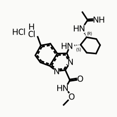 CONC(=O)c1nc(N[C@H]2CCCC[C@H]2NC(C)=N)c2cc(C)ccc2n1.Cl.Cl